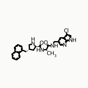 C[C@H](NC(=O)[C@H]1C[C@H](Cc2cccc3ccccc23)CN1)C(=O)NCc1cnc2[nH]cc(Cl)c2c1